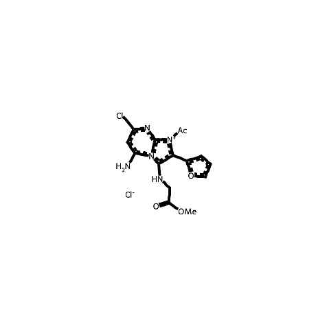 COC(=O)CNc1c(-c2ccco2)[n+](C(C)=O)c2nc(Cl)cc(N)n12.[Cl-]